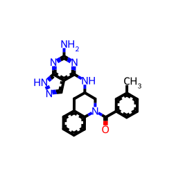 Cc1cccc(C(=O)N2CC(Nc3nc(N)nc4[nH]ncc34)Cc3ccccc32)c1